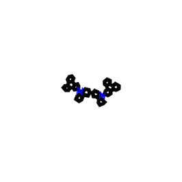 C1=Cc2c(n(-c3ccc4c5ccccc5c5ccccc5c4c3)c3ccc(-c4ccc5c(c4)c4ccccc4n5-c4ccc5c6ccccc6c6ccccc6c5c4)cc23)CC1